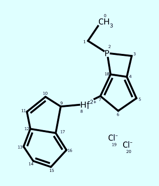 CCP1CC2=CC[C]([Hf+2][CH]3C=Cc4ccccc43)=C21.[Cl-].[Cl-]